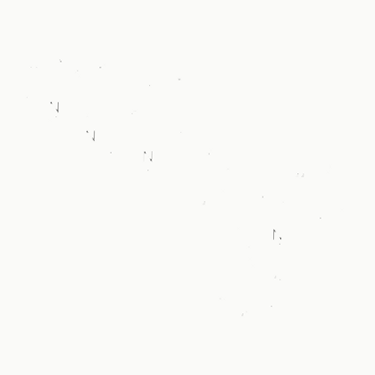 c1ccc(-c2cc(-c3ccc(-c4nc5cnc6c(ccc7cccnc76)c5c5ccccc45)cc3)cc(-c3ccccc3)n2)cc1